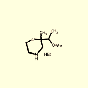 Br.COC(C)C1(C)CNCCO1